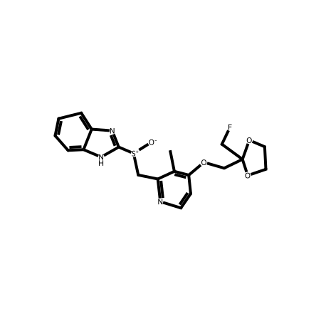 Cc1c(OCC2(CF)OCCO2)ccnc1C[S+]([O-])c1nc2ccccc2[nH]1